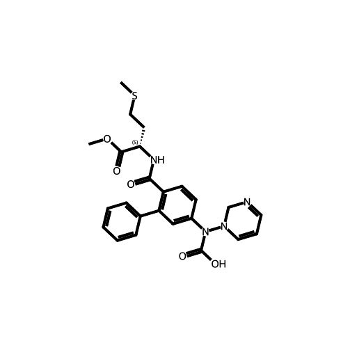 COC(=O)[C@H](CCSC)NC(=O)c1ccc(N(C(=O)O)N2C=CC=NC2)cc1-c1ccccc1